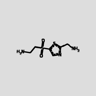 NCCS(=O)(=O)c1cnc(CN)s1